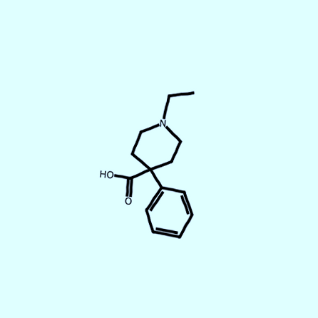 CCN1CCC(C(=O)O)(c2ccccc2)CC1